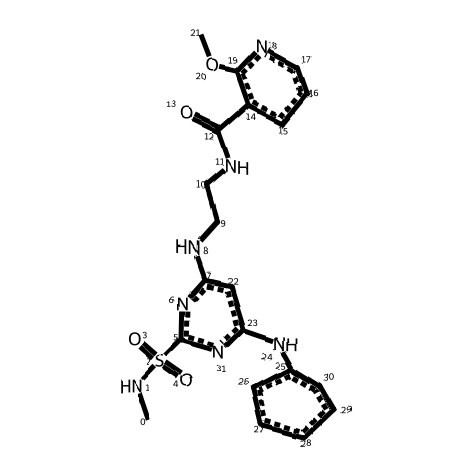 CNS(=O)(=O)c1nc(NCCNC(=O)c2cccnc2OC)cc(Nc2ccccc2)n1